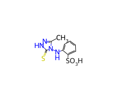 Cc1n[nH]c(=S)n1Nc1ccccc1S(=O)(=O)O